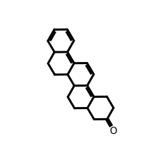 O=C1CCC2=C3C=CC4=C5C=CC=CC5CCC4C3CCC2C1